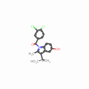 Cc1c([C@@H](C)C(=O)O)c2cc(O)ccc2n1C(=O)c1ccc(Cl)c(Cl)c1